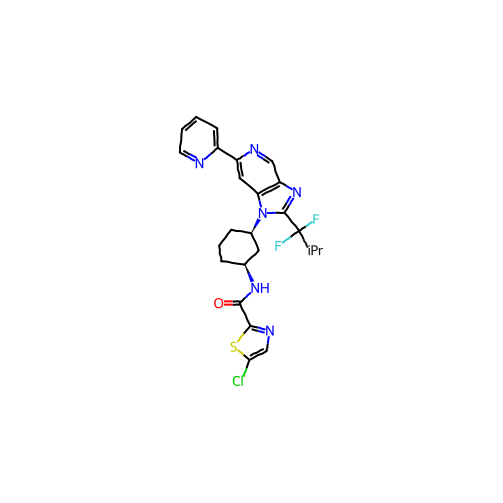 CC(C)C(F)(F)c1nc2cnc(-c3ccccn3)cc2n1[C@@H]1CCC[C@H](NC(=O)c2ncc(Cl)s2)C1